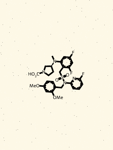 COc1ccc(CN(c2cccc(F)n2)S(=O)(=O)Cc2c(F)cc(F)cc2N(C)[C@H]2CCN(C(=O)O)C2)c(OC)c1